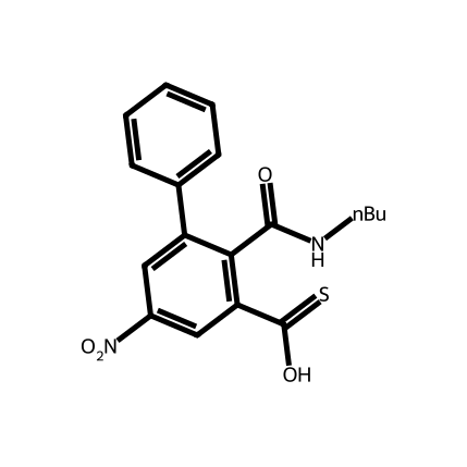 CCCCNC(=O)c1c(C(O)=S)cc([N+](=O)[O-])cc1-c1ccccc1